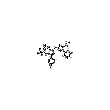 CC(O)c1nc(Cn2nc(-c3ccc(Cl)cc3)n(CC(O)C(F)(F)F)c2=O)nn1-c1cnccn1